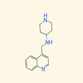 c1ccc2c(CNC3CCNCC3)ccnc2c1